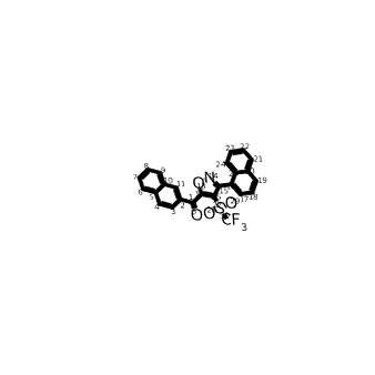 O=C(c1ccc2ccccc2c1)c1onc(-c2cccc3ccccc23)c1S(=O)(=O)C(F)(F)F